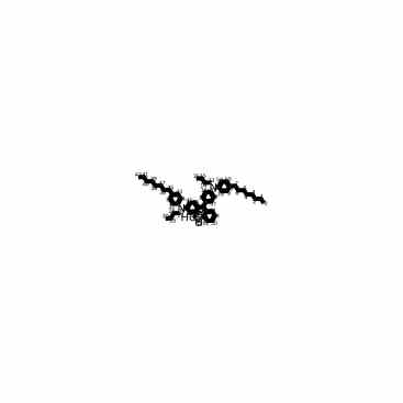 CCCCCCCCc1ccc(N(CCCC)c2ccc(C(c3ccc(N(CCCC)c4ccc(CCCCCCCC)cc4)cc3)c3ccccc3S(=O)(=O)O)cc2)cc1